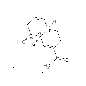 CC(=O)C1=C[C@@]2(C)[C@H](C)CC=C[C@H]2CC1